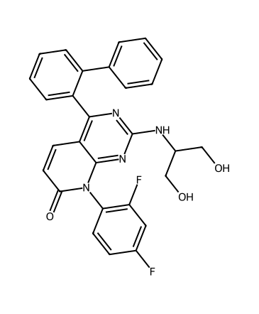 O=c1ccc2c(-c3ccccc3-c3ccccc3)nc(NC(CO)CO)nc2n1-c1ccc(F)cc1F